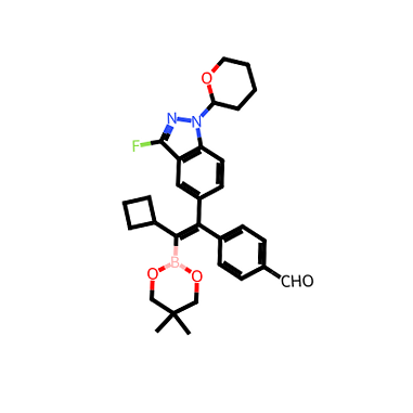 CC1(C)COB(C(=C(c2ccc(C=O)cc2)c2ccc3c(c2)c(F)nn3C2CCCCO2)C2CCC2)OC1